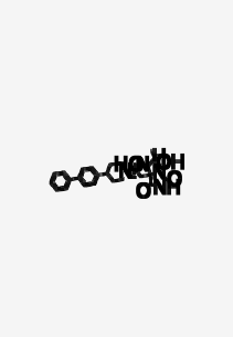 CC(O)C(N)C1(CC(=O)N2CCC(c3ccc(-c4ccccc4)cc3)CC2)NC(=O)NC1=O